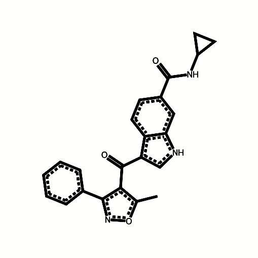 Cc1onc(-c2ccccc2)c1C(=O)c1c[nH]c2cc(C(=O)NC3CC3)ccc12